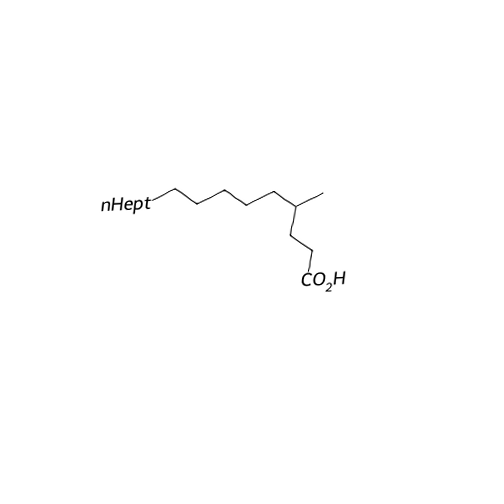 CCCCCCCCCCCCC(C)CCC(=O)O